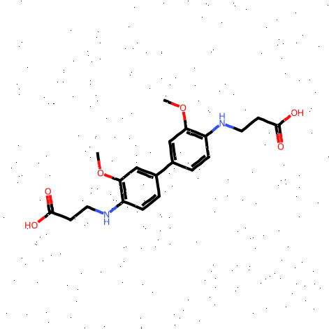 COc1cc(-c2ccc(NCCC(=O)O)c(OC)c2)ccc1NCCC(=O)O